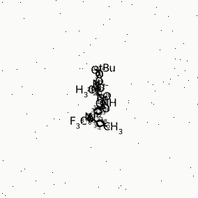 Cc1ccc(-c2cc(C(F)(F)F)nn2-c2ccc(S(=O)(=O)NC(=O)OCCN(C)[N+]([O-])=NOCOC(=O)C(C)(C)C)cc2)cc1